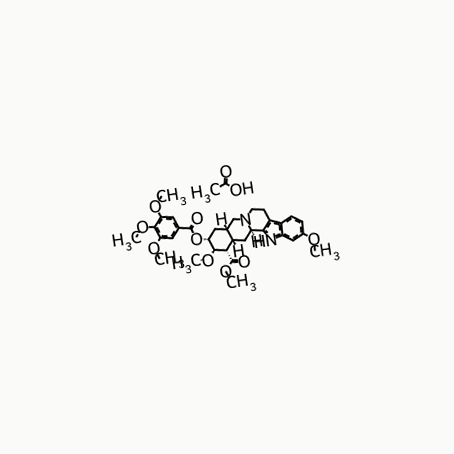 CC(=O)O.COC(=O)[C@H]1[C@H]2C[C@@H]3c4[nH]c5cc(OC)ccc5c4CCN3C[C@H]2C[C@@H](OC(=O)c2cc(OC)c(OC)c(OC)c2)[C@@H]1OC